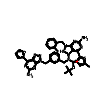 Cc1cnc(-c2nc(N)nc3c2N(N(Cc2cccc(Cn4nnc5c(-c6ccco6)nc(N)nc54)c2)C(=O)OC(C)(C)C)NN3Cc2ccccc2F)s1